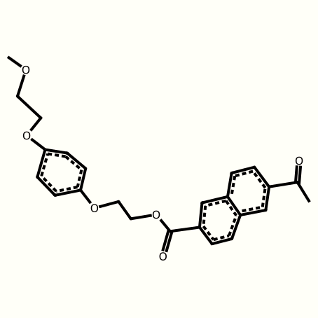 COCCOc1ccc(OCCOC(=O)c2ccc3cc(C(C)=O)ccc3c2)cc1